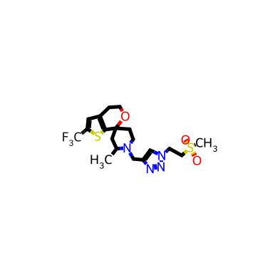 CC1CC2(CCN1Cc1cn(CCS(C)(=O)=O)nn1)OCCc1cc(C(F)(F)F)sc12